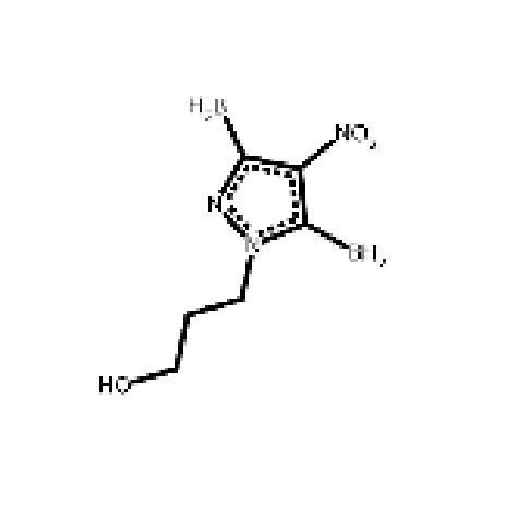 Bc1nn(CCCO)c(B)c1[N+](=O)[O-]